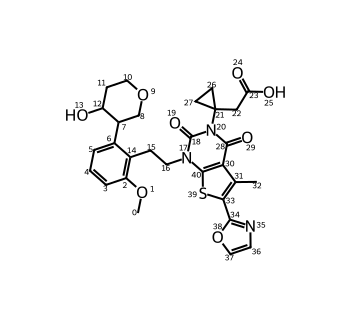 COc1cccc(C2COCCC2O)c1CCn1c(=O)n(C2(CC(=O)O)CC2)c(=O)c2c(C)c(-c3ncco3)sc21